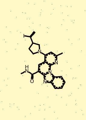 C=C(I)C1CCN(c2cc(C)nc3c2cc(C(=O)NC)c2nc4ccccc4n23)C1